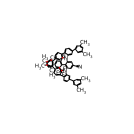 Cc1cc(C)cc(-c2ccc3c4ccc(-c5cc(C)cc(C)c5)cc4n(-c4cc(C#N)cc(-n5c6cc(-c7cc(C)cc(C)c7)ccc6c6ccc(-c7cc(C)cc(C)c7)cc65)c4-c4c(C#N)cccc4C(F)(F)F)c3c2)c1